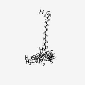 CCCCCCCCCCCCCCC[C@@H](OC(=O)C(F)(F)F)[C@H](C)NC(=O)OC(C)(C)C